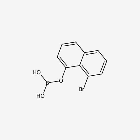 OB(O)Oc1cccc2cccc(Br)c12